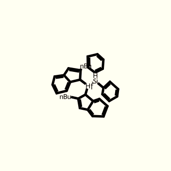 CCCCC1=Cc2ccccc2[CH]1[Hf]([CH]1C(CCCC)=Cc2ccccc21)[SiH](c1ccccc1)c1ccccc1